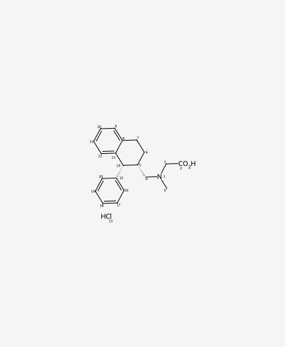 CN(CC(=O)O)C[C@H]1CCc2ccccc2[C@H]1c1ccccc1.Cl